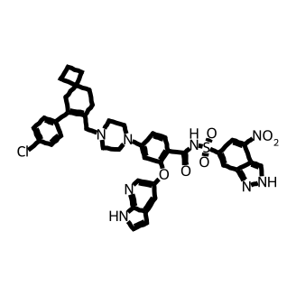 O=C(NS(=O)(=O)c1cc([N+](=O)[O-])c2c[nH]nc2c1)c1ccc(N2CCN(CC3=C(c4ccc(Cl)cc4)CC4(CCC4)CC3)CC2)cc1Oc1cnc2[nH]ccc2c1